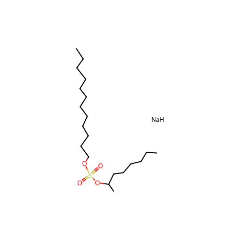 CCCCCCCCCCCCOS(=O)(=O)OC(C)CCCCCC.[NaH]